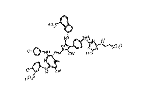 Cc1c(C#N)c(Nc2ccc(Cl)c(S(=O)(=O)O)c2)nc(Nc2ccc(Cl)cc2)c1N=Nc1sc(N=Nc2ccc3cccc(S(=O)(=O)O)c3c2)c(-c2ccc(Nc3nc(O)nc(NCCS(=O)(=O)O)n3)cc2)c1C#N